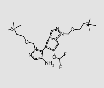 C[Si](C)(C)CCOCn1ncc(N)c1-c1cc2cnn(COCC[Si](C)(C)C)c2cc1OC(F)F